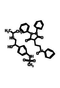 CC(C)NCC(O)c1ccc(NS(C)(=O)=O)cc1.O=C1C(CC[S+]([O-])c2ccccc2)C(=O)N(c2ccccc2)N1c1ccccc1